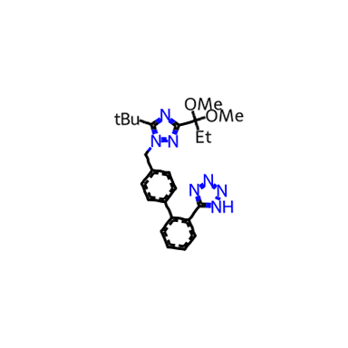 CCC(OC)(OC)c1nc(C(C)(C)C)n(Cc2ccc(-c3ccccc3-c3nnn[nH]3)cc2)n1